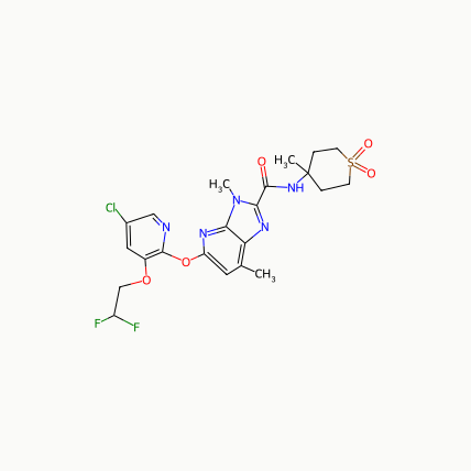 Cc1cc(Oc2ncc(Cl)cc2OCC(F)F)nc2c1nc(C(=O)NC1(C)CCS(=O)(=O)CC1)n2C